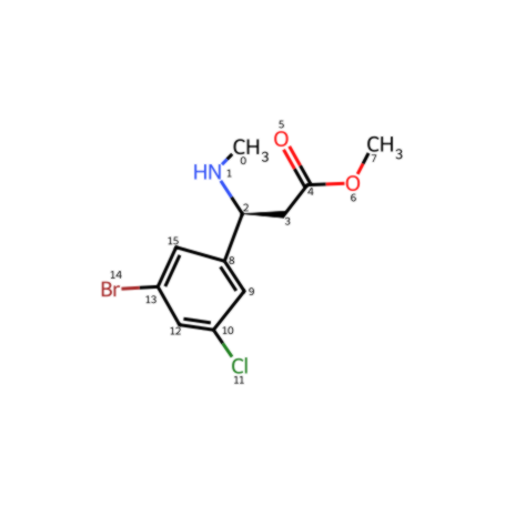 CN[C@@H](CC(=O)OC)c1cc(Cl)cc(Br)c1